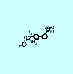 C[C@@H](c1ccc(-c2cccc(-c3noc(=O)[nH]3)c2)cc1)C(N)C(=O)N1CC[C@H](F)C1